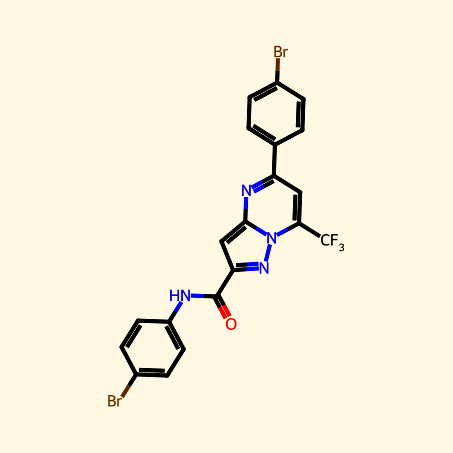 O=C(Nc1ccc(Br)cc1)c1cc2nc(-c3ccc(Br)cc3)cc(C(F)(F)F)n2n1